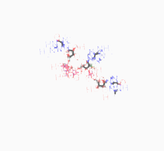 CO[C@@H]1C(O)[C@H](n2c[n+](C)c3c(=O)[nH]c(N)nc32)O[C@@H]1COP(=O)(O)OP(=O)(O)OP(=O)(O)OC[C@H]1O[C@@H](n2cnc3c(N)ncnc32)[C@@H](F)C1OP(=O)(O)OC[C@H]1O[C@@H](n2cnc3c(=O)[nH]c(C)nc32)[C@@H](O)C1O